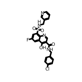 O=C(NCc1ccc(Cl)cc1)c1cnc2c(S(=O)(=O)NCc3cccnc3)cc(F)cc2c1O